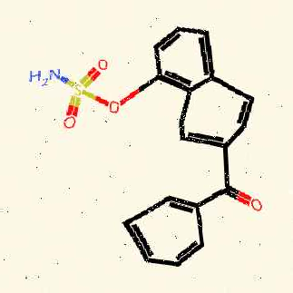 NS(=O)(=O)Oc1cccc2ccc(C(=O)c3ccccc3)cc12